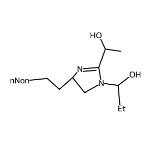 CCCCCCCCCCCC1CN(C(O)CC)C(C(C)O)=N1